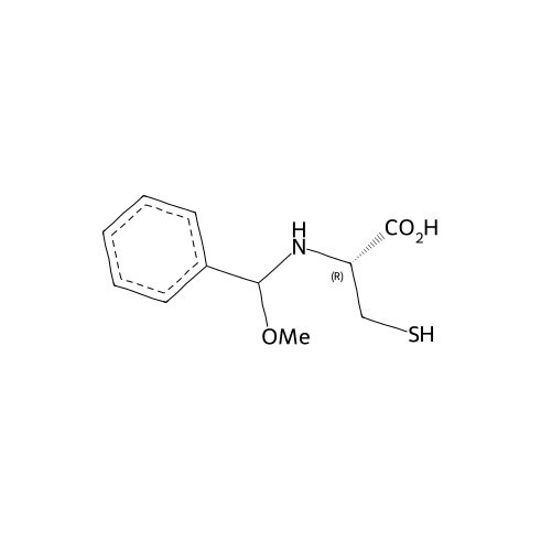 COC(N[C@@H](CS)C(=O)O)c1ccccc1